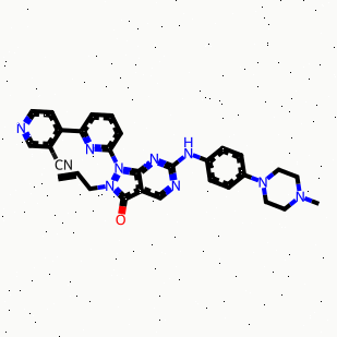 C=CCn1c(=O)c2cnc(Nc3ccc(N4CCN(C)CC4)cc3)nc2n1-c1cccc(-c2ccncc2C#N)n1